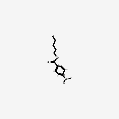 CCCCCOC(=O)c1ccc([As](C)C)cc1